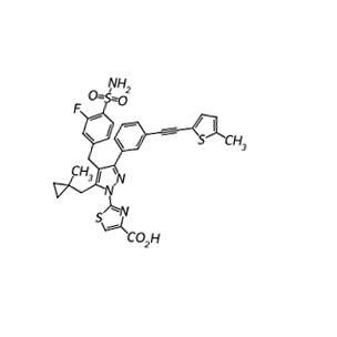 Cc1ccc(C#Cc2cccc(-c3nn(-c4nc(C(=O)O)cs4)c(CC4(C)CC4)c3Cc3ccc(S(N)(=O)=O)c(F)c3)c2)s1